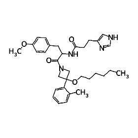 CCCCCCOC1(c2ccccc2C)CN(C(=O)C(Cc2ccc(OC)cc2)NC(=O)CCc2c[nH]cn2)C1